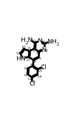 Nc1nc(N)c2c(cc(-c3ccc(Cl)cc3Cl)c3[nH]ccc32)n1